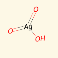 [O]=[Ag](=[O])[OH]